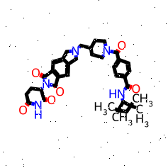 CC1(C)CC(C)(C)C1NC(=O)c1ccc(C(=O)N2CCC(CN3Cc4cc5c(cc4C3)C(=O)N(C3CCC(=O)NC3=O)C5=O)CC2)cc1